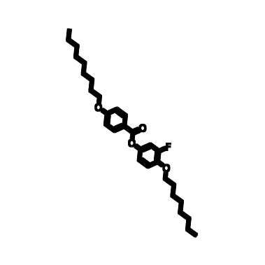 CCCCCCCCCOc1ccc(C(=O)Oc2ccc(OCCCCCCCC)c(F)c2)cc1